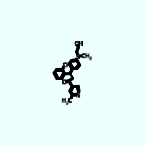 Cc1cc(C(=O)C[C@H](c2ccc(N(C)CCO)cc2)c2ccccc2C)ccn1